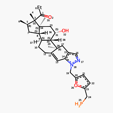 CCC(=O)[C@@]1(C)[C@H](C)C[C@H]2[C@@H]3CCC4=Cc5c(cnn5Cc5ccc(CP)o5)C[C@]4(C)[C@H]3[C@@H](O)C[C@@]21C